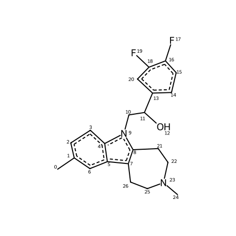 Cc1ccc2c(c1)c1c(n2CC(O)c2ccc(F)c(F)c2)CCN(C)CC1